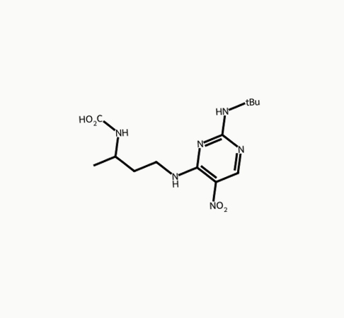 CC(CCNc1nc(NC(C)(C)C)ncc1[N+](=O)[O-])NC(=O)O